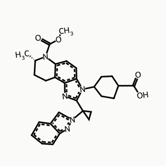 COC(=O)N1c2ccc3c(nc(C4(n5cc6ccccc6n5)CC4)n3C3CCC(C(=O)O)CC3)c2CC[C@@H]1C